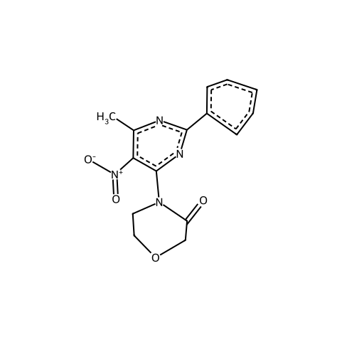 Cc1nc(-c2ccccc2)nc(N2CCOCC2=O)c1[N+](=O)[O-]